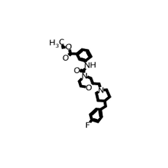 CCOC(=O)c1cccc(NC(=O)N2CCOC(CN3CCC(Cc4ccc(F)cc4)CC3)C2)c1